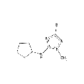 Cn1nc(Br)nc1NC1CCCC1